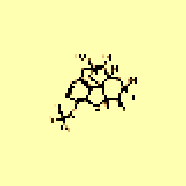 [2H]C([2H])([2H])Oc1ccc2c3c1OC1([2H])C(=O)C([2H])([2H])C[C@H]4[C@@]([2H])(C2)N(C)CC[C@@]341